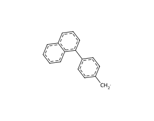 [CH2]c1ccc(-c2cccc3ccccc23)cc1